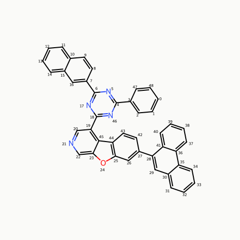 c1ccc(-c2nc(-c3ccc4ccccc4c3)nc(-c3cncc4oc5cc(-c6cc7ccccc7c7ccccc67)ccc5c34)n2)cc1